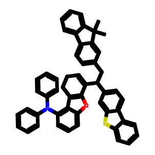 CC1(C)c2ccccc2-c2ccc(CC(C3=CCCc4c3oc3cccc(N(c5ccccc5)c5ccccc5)c43)c3ccc4c(c3)sc3ccccc34)cc21